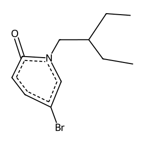 CCC(CC)Cn1cc(Br)ccc1=O